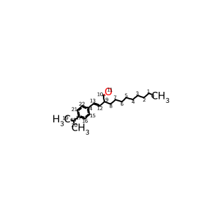 CCCCCCCCCC(C=O)C=Cc1ccc(C(C)C)cc1